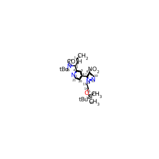 C=CC[C@@H](c1cc(-c2c([N+](=O)[O-])cnn2CCO[Si](C)(C)C(C)(C)C)ccn1)N(C(=O)O)C(C)(C)C